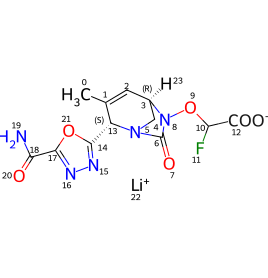 CC1=C[C@@H]2CN(C(=O)N2OC(F)C(=O)[O-])[C@@H]1c1nnc(C(N)=O)o1.[Li+]